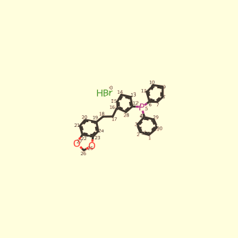 Br.c1ccc(P(c2ccccc2)c2cccc(CCc3ccc4c(c3)OCO4)c2)cc1